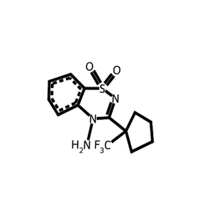 NN1C(C2(C(F)(F)F)CCCC2)=NS(=O)(=O)c2ccccc21